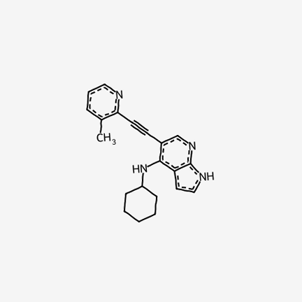 Cc1cccnc1C#Cc1cnc2[nH]ccc2c1NC1CCCCC1